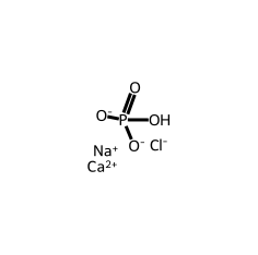 O=P([O-])([O-])O.[Ca+2].[Cl-].[Na+]